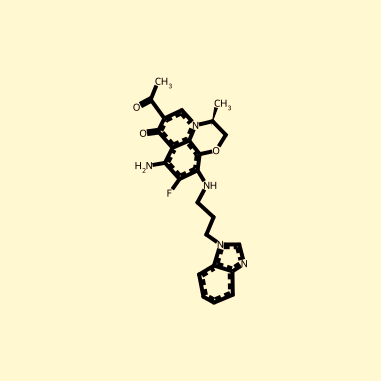 CC(=O)c1cn2c3c(c(NCCCn4cnc5ccccc54)c(F)c(N)c3c1=O)OC[C@@H]2C